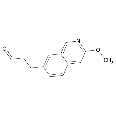 COc1cc2ccc(CCC=O)cc2cn1